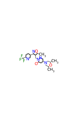 Cc1onc(-c2ccc(C(F)(F)F)nc2)c1Cn1ncc(N2CC(C)OC(C)C2)cc1=O